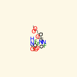 CCOC(=O)CCc1cccc2c1OCC[C@]2(C)c1cn(C)c(-c2cc(Oc3c(F)c(F)c4[nH]ccc4c3S(C)(=O)=O)ccc2F)n1